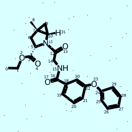 CCOC(=O)[C@@H]1C[C@]2(C)C[C@@H]2N1C(=O)CNC(=O)c1cccc(Oc2ccccc2)c1